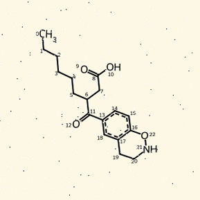 CCCCCCC(CC(=O)O)C(=O)c1ccc2c(c1)CCNO2